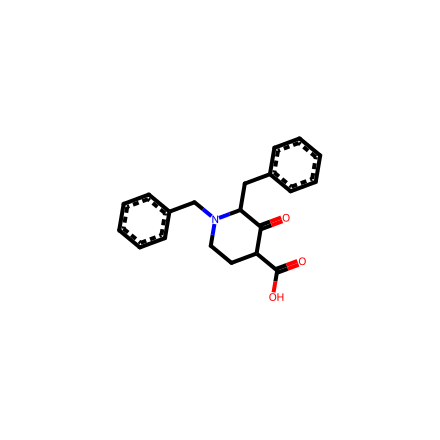 O=C(O)C1CCN(Cc2ccccc2)C(Cc2ccccc2)C1=O